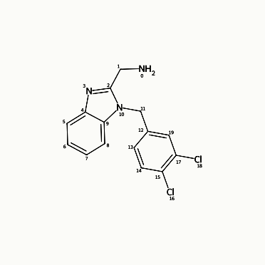 NCc1nc2ccccc2n1Cc1ccc(Cl)c(Cl)c1